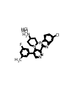 Cc1cc(F)cc(-c2cnnc(-c3nc4cc(Cl)ccc4[nH]3)c2N2CCC(N)CC2)c1.Cl.Cl